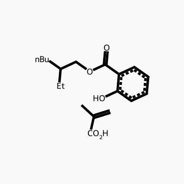 C=C(C)C(=O)O.CCCCC(CC)COC(=O)c1ccccc1O